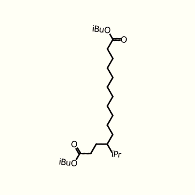 CC(C)COC(=O)CCCCCCCCCCC(CCC(=O)OCC(C)C)C(C)C